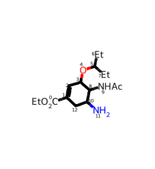 CCOC(=O)C1=CC(OC(CC)CC)C(NC(C)=O)C(N)C1